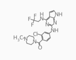 CN1CCN(C(=O)c2ccc(Nc3nc(NCC(F)(F)F)c4cc[nH]c4n3)cc2Cl)CC1